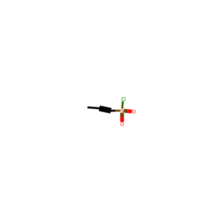 CC#CS(=O)(=O)Cl